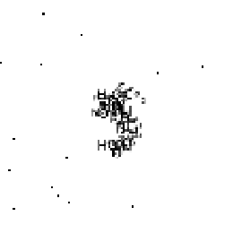 CC(C)(C)OC(=O)N[C@@H](Cc1nc2c(-c3cnn(C(=O)O)c3)cccc2o1)C(=O)NC1(C#N)CC1